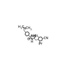 CCc1cc(C#N)cc(C(C)C)c1CC(=O)N[S@](=N)(=O)c1ccc(CN(C)C)cc1